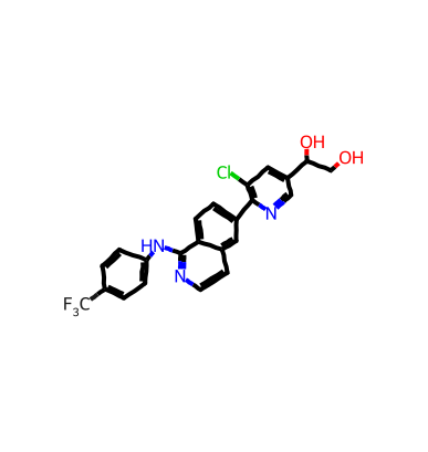 OCC(O)c1cnc(-c2ccc3c(Nc4ccc(C(F)(F)F)cc4)nccc3c2)c(Cl)c1